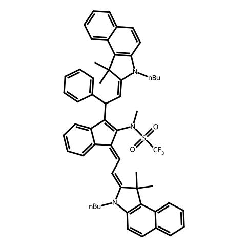 CCCCN1/C(=C/C=C2/C(N(C)S(=O)(=O)C(F)(F)F)=C(C(/C=C3/N(CCCC)c4ccc5ccccc5c4C3(C)C)c3ccccc3)c3ccccc32)C(C)(C)c2c1ccc1ccccc21